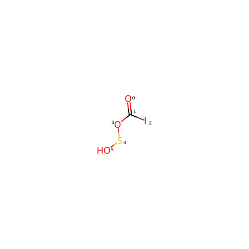 O=C(I)OSO